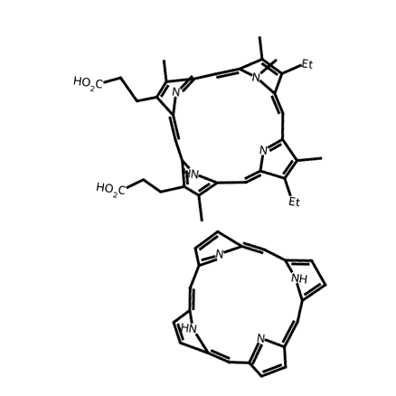 C1=Cc2cc3ccc(cc4nc(cc5ccc(cc1n2)[nH]5)C=C4)[nH]3.CCC1=C(C)c2cc3c(CC)c(C)c(cc4nc(cc5[nH]c(cc1n2)c(C)c5CCC(=O)O)C(CCC(=O)O)=C4C)n3C